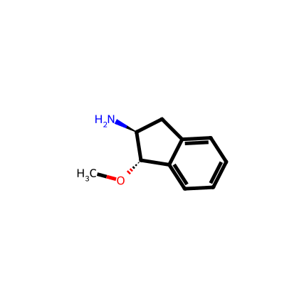 CO[C@H]1c2ccccc2C[C@@H]1N